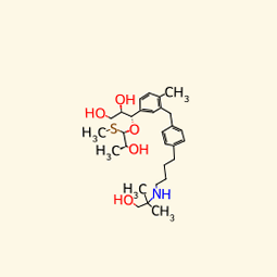 CS[C@@H](O[C@@H](c1ccc(C)c(Cc2ccc(CCCCNC(C)(C)CO)cc2)c1)[C@H](O)CO)[C@H](C)O